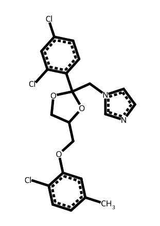 Cc1ccc(Cl)c(OCC2COC(Cn3ccnc3)(c3ccc(Cl)cc3Cl)O2)c1